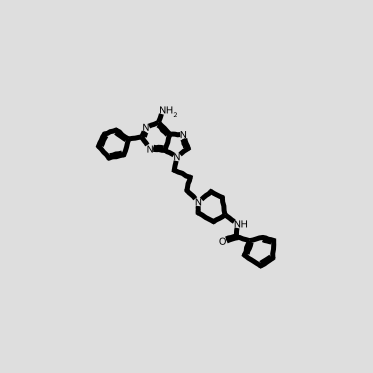 Nc1nc(-c2ccccc2)nc2c1ncn2CCCN1CCC(NC(=O)c2ccccc2)CC1